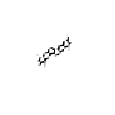 Fc1c(F)c(F)c2cc3c(ccc4c5cc6c(F)c(F)c(F)c(F)c6cc5ccc34)cc2c1F